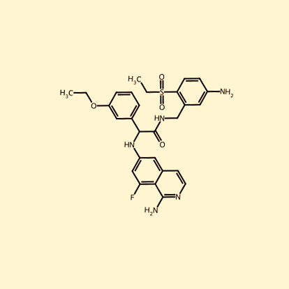 CCOc1cccc(C(Nc2cc(F)c3c(N)nccc3c2)C(=O)NCc2cc(N)ccc2S(=O)(=O)CC)c1